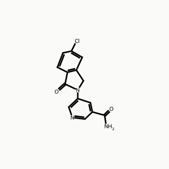 NC(=O)c1cncc(N2Cc3cc(Cl)ccc3C2=O)c1